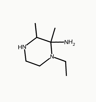 CCN1CCNC(C)C1(C)N